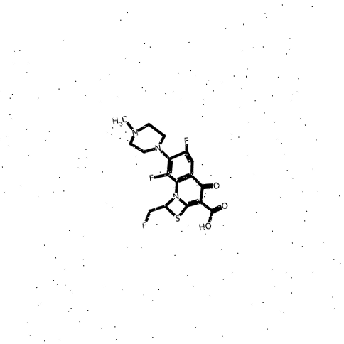 CN1CCN(c2c(F)cc3c(=O)c(C(=O)O)c4n(c3c2F)C(CF)S4)CC1